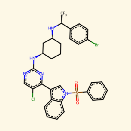 O=S(=O)(c1ccccc1)n1cc(-c2nc(N[C@@H]3CCC[C@H](N[C@H](c4ccc(Br)cc4)C(F)(F)F)C3)ncc2Cl)c2ccccc21